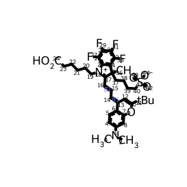 CN(C)c1ccc2c(c1)OC(C(C)(C)C)=C/C2=C\C=C\C1=[N+](CCCCCC(=O)O)c2c(F)c(F)c(F)c(F)c2C1(C)CCCCS(=O)(=O)[O-]